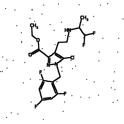 CCOC(=O)c1nn(Cc2c(F)cc(F)cc2F)c(Cl)c1CCNC(C)C(F)F